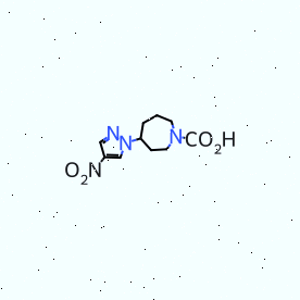 O=C(O)N1CCCC(n2cc([N+](=O)[O-])cn2)CC1